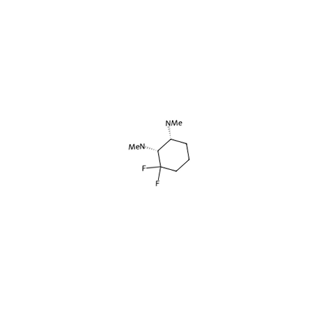 CN[C@@H]1[C@H](NC)CCCC1(F)F